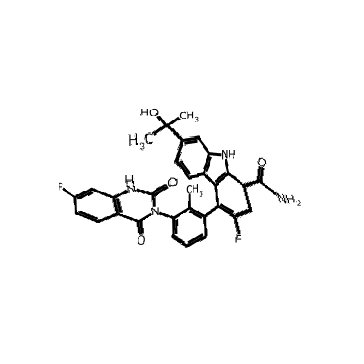 Cc1c(C2=C(F)CC(C(N)=O)c3[nH]c4cc(C(C)(C)O)ccc4c32)cccc1-n1c(=O)[nH]c2cc(F)ccc2c1=O